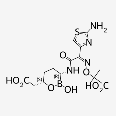 CC(C)(ON=C(C(=O)N[C@H]1CC[C@@H](CC(=O)O)OB1O)c1csc(N)n1)C(=O)O